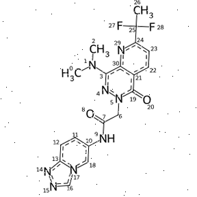 CN(C)c1nn(CC(=O)Nc2ccc3nncn3c2)c(=O)c2ccc(C(C)(F)F)nc12